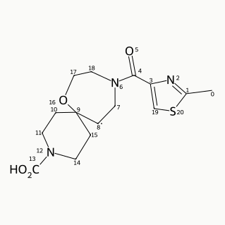 Cc1nc(C(=O)N2C[CH]C3(CCN(C(=O)O)CC3)OCC2)cs1